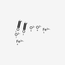 [C]=O.[C]=O.[Fe+3].[Fe+3].[O-2].[O-2].[O-2]